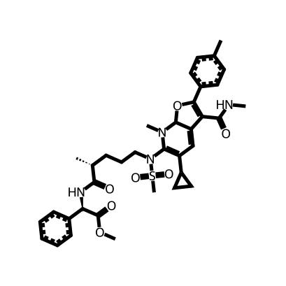 CNC(=O)C1=C(c2ccc(C)cc2)OC2C1=CC(C1CC1)=C(N(CCC[C@@H](C)C(=O)N[C@@H](C(=O)OC)c1ccccc1)S(C)(=O)=O)N2C